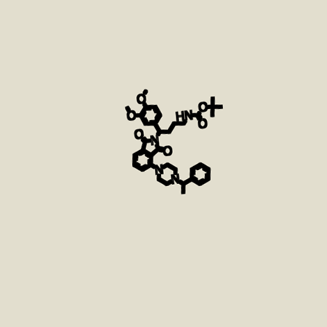 COc1ccc(C(CCCNC(=O)OC(C)(C)C)N2C(=O)c3cccc(N4CCN(C(C)c5ccccc5)CC4)c3C2=O)cc1OC